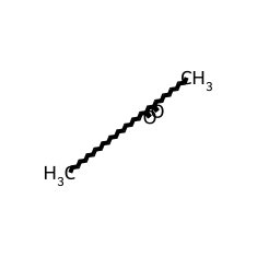 CCCCCCCCCCCCCCCCCCCCC(=O)CC(=O)CCCCCCCCC